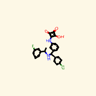 CC(NC(c1ccc(Cl)cc1)c1cccc(Nc2c(O)c(=O)c2=O)c1)c1cccc(F)c1